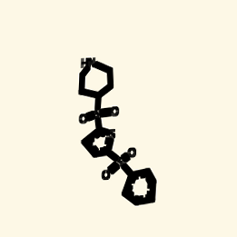 O=S(=O)(c1ccccc1)c1ccc(S(=O)(=O)C2CCNCC2)s1